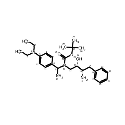 CCN(CC)c1ccc(C(N)N(C[C@H](O)[C@@H](N)Cc2ccccc2)C(=O)OC(C)(C)C)cc1